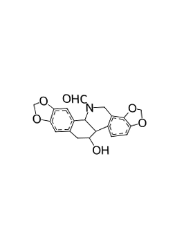 O=CN1Cc2c(ccc3c2OCO3)C2C(O)Cc3cc4c(cc3C21)OCO4